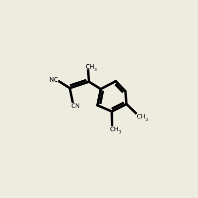 CC(=C(C#N)C#N)c1ccc(C)c(C)c1